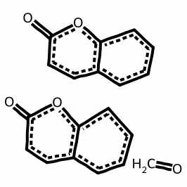 C=O.O=c1ccc2ccccc2o1.O=c1ccc2ccccc2o1